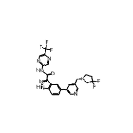 O=C(Nc1cnc(C(F)(F)F)cn1)c1n[nH]c2ccc(-c3cncc(CN4CCC(F)(F)C4)c3)cc12